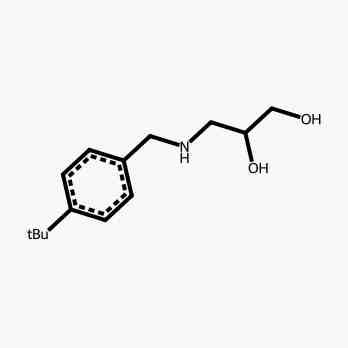 CC(C)(C)c1ccc(CNCC(O)CO)cc1